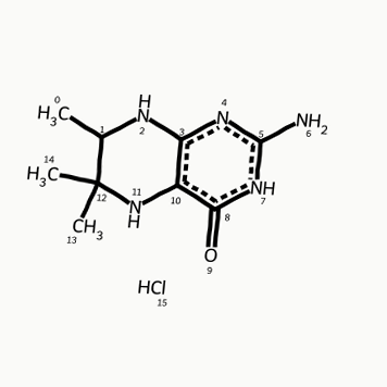 CC1Nc2nc(N)[nH]c(=O)c2NC1(C)C.Cl